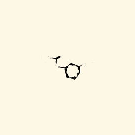 CC(=O)Nc1cccc(NC(N)=O)c1